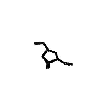 O=CN1CNC(C(=O)O)C1